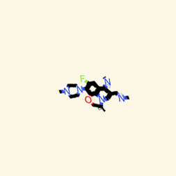 C/N=c1/c(/C=N/C)cn2c3c(c(N4CCN(C)CC4)c(F)cc13)OC[C@@H]2C